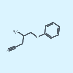 CC(CC#N)COc1[c]cccc1